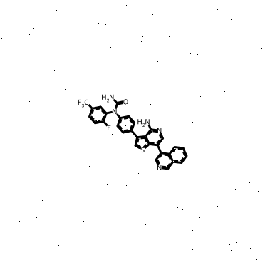 NC(=O)N(c1ccc(-c2csc3c(-c4cncc5ccccc45)cnc(N)c23)cc1)c1cc(C(F)(F)F)ccc1F